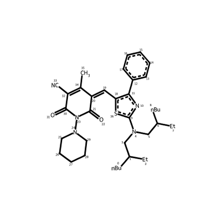 CCCCC(CC)CN(CC(CC)CCCC)c1nc(-c2ccccc2)c(/C=C2\C(=O)N(N3CCCCC3)C(=O)C(C#N)=C2C)s1